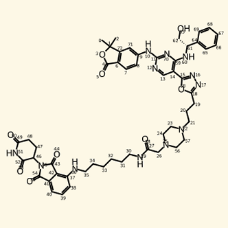 CC1(C)OC(=O)c2ccc(Nc3ncc(-c4nnc(CCCN5CCN(CC(=O)NCCCCCCNc6cccc7c6C(=O)N(C6CCC(=O)NC6=O)C7=O)CC5)o4)c(N[C@H](CO)c4ccccc4)n3)cc21